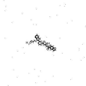 COCCCn1c(C2CCCN(C(=O)CC(N)CNC(=O)c3ccc4c(c3)CCO4)C2)nc2ccccc21